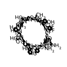 CCCC[C@H]1C(=O)N2CCC[C@@H]2C(=O)N[C@@H](CC(=O)O)C(=O)N[C@@H](C(C)C)C(=O)N(C)C(Cc2ccccc2)C(=O)N[C@@H](CCC(=O)O)C(=O)N2CCCC[C@@H]2C(=O)N[C@@H](Cc2c[nH]c3ccccc23)C(=O)N[C@@H](Cc2ccc(O)cc2)C(=O)N[C@@H](CCN)C(=O)N[C@H](C(=O)NCC(N)=O)CSCC(=O)N[C@@H](Cc2cc(F)c(F)c(F)c2)C(=O)N(C)C(Cc2ccc(O)cc2)C(=O)N1C